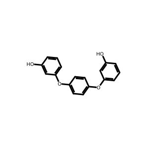 Oc1cccc(Oc2ccc(Oc3cccc(O)c3)cc2)c1